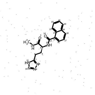 CNC(=O)[C@H](CCc1nnn[nH]1)NC(=O)c1cccc2ccccc12